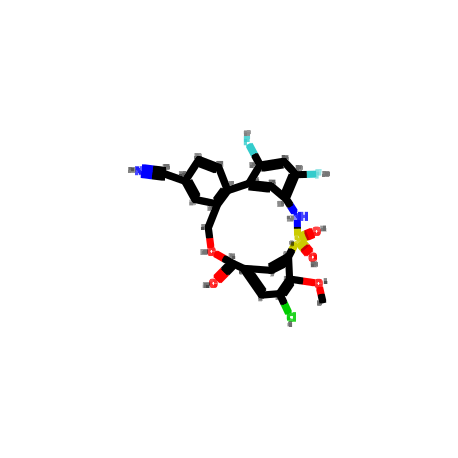 COc1c(Cl)cc2cc1S(=O)(=O)Nc1cc(c(F)cc1F)-c1ccc(C#N)cc1COC2=O